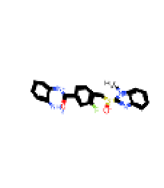 Cn1c([S+]([O-])Cc2ccc(C(=O)Nc3ccccc3N)cc2F)nc2ccccc21